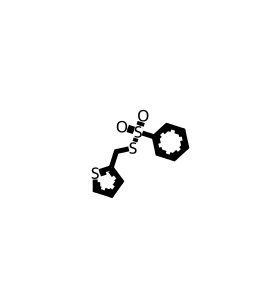 O=S(=O)(SCc1cccs1)c1ccccc1